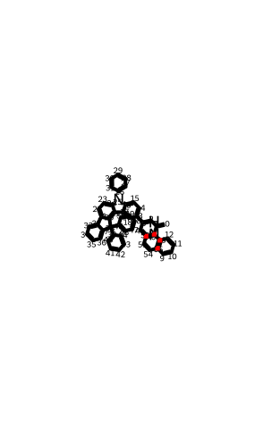 C=C(/C=C(\C=C/Nc1ccccc1)c1ccc2c(c1)c1c3c(ccc1n2-c1ccccc1)-c1ccccc1C3(c1ccccc1)c1ccccc1)c1ccccc1